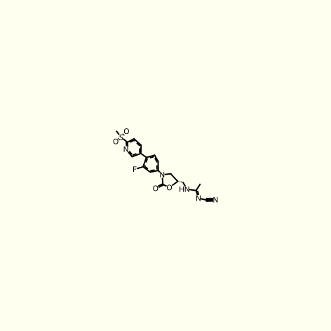 C/C(=N\C#N)NC[C@H]1CN(c2ccc(-c3ccc(S(C)(=O)=O)nc3)c(F)c2)C(=O)O1